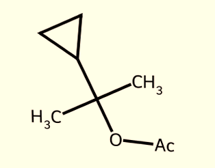 CC(=O)OC(C)(C)C1CC1